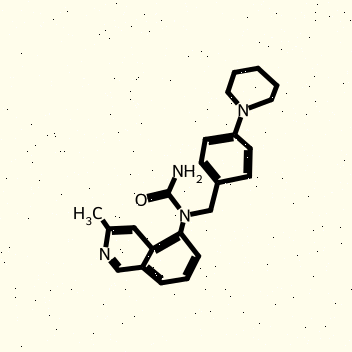 Cc1cc2c(N(Cc3ccc(N4CCCCC4)cc3)C(N)=O)cccc2cn1